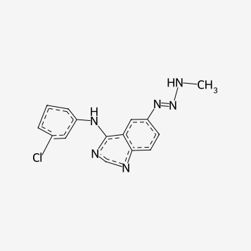 CNN=Nc1ccc2ncnc(Nc3cccc(Cl)c3)c2c1